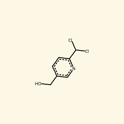 OCc1ccc(C(Cl)Cl)nc1